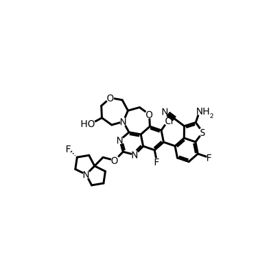 N#Cc1c(N)sc2c(F)ccc(-c3c(Cl)c4c5c(nc(OCC67CCCN6C[C@H](F)C7)nc5c3F)N3CC(O)COCC3CO4)c12